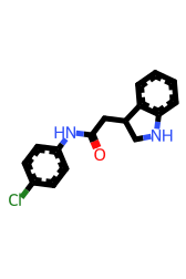 O=C(CC1CNc2ccccc21)Nc1ccc(Cl)cc1